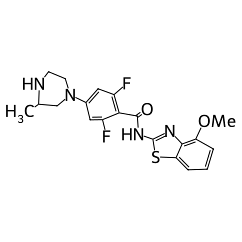 COc1cccc2sc(NC(=O)c3c(F)cc(N4CCNC(C)C4)cc3F)nc12